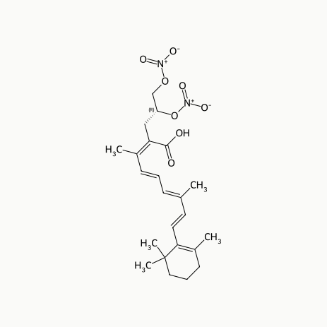 CC(C=CC1=C(C)CCCC1(C)C)=CC=CC(C)=C(C[C@H](CO[N+](=O)[O-])O[N+](=O)[O-])C(=O)O